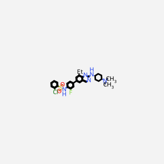 CCc1cc(-c2ccc(NS(=O)(=O)c3ccccc3Cl)c(F)c2)cc2cnc(N[C@H]3CC[C@H](N(C)C)CC3)nc12